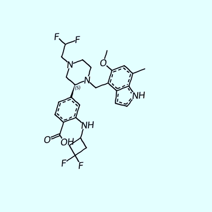 COc1cc(C)c2[nH]ccc2c1CN1CCN(CC(F)F)C[C@@H]1c1ccc(C(=O)O)c(NC2CC(F)(F)C2)c1